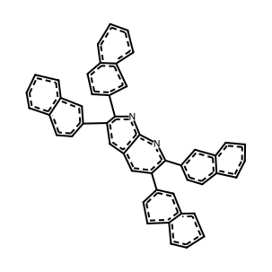 c1ccc2cc(-c3cc4cc(-c5ccc6ccccc6c5)c(-c5ccc6ccccc6c5)nc4nc3-c3ccc4ccccc4c3)ccc2c1